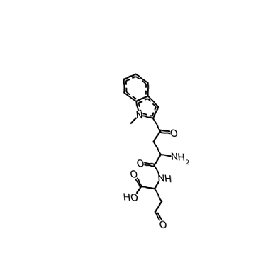 Cn1c(C(=O)CC(N)C(=O)NC(CC=O)C(=O)O)cc2ccccc21